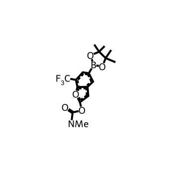 CNC(=O)Oc1cc2cc(B3OC(C)(C)C(C)(C)O3)cc(C(F)(F)F)c2o1